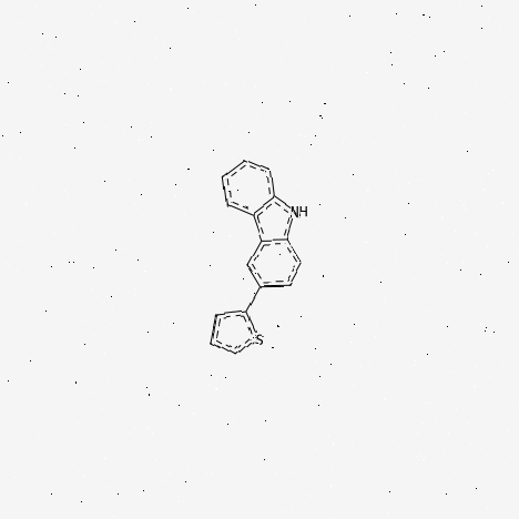 c1csc(-c2ccc3[nH]c4ccccc4c3c2)c1